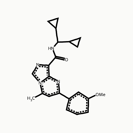 COc1cccc(-c2cc(C)n3cnc(C(=O)NC(C4CC4)C4CC4)c3n2)c1